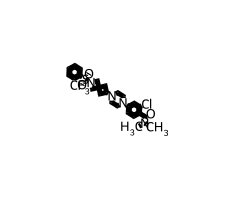 CN(C)C(=O)c1ccc(N2CCN(C3CC4(C3)CN(S(=O)(=O)c3ccccc3C(F)(F)F)C4)CC2)cc1Cl